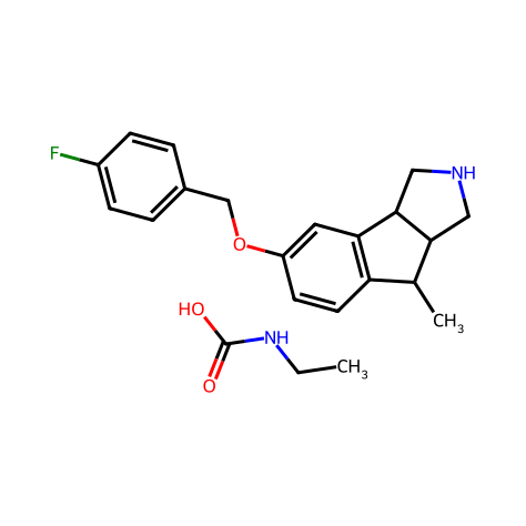 CC1c2ccc(OCc3ccc(F)cc3)cc2C2CNCC12.CCNC(=O)O